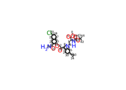 COC(=O)[C@H](CCn1cc(C(=O)COc2cc3ccc(Cl)cc3cc2C(N)=O)c2ccc(C3CC3)cc21)NC(=O)OC(C)(C)C